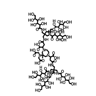 CC1(N(CC(=O)O)CC(=O)O)CN(C(CC(=O)NCC(CNCOC(O)C(O)C(O)C(O)CO)(CNC(=O)C(O)C(O)C(O)C(O)CO)CNC(=O)C(O)C(O)C(O)C(O)CO)C(=O)O)CCN(C(CC(=O)NCC(CNCOC(O)C(O)C(O)C(O)CO)(CNC(=O)C(O)C(O)C(O)C(O)CO)CNC(=O)C(O)C(O)C(O)C(O)CO)C(=O)O)C1